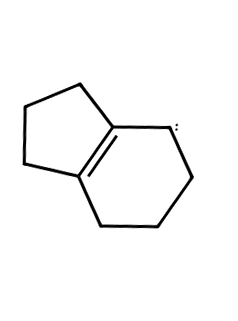 [C]1CCCC2=C1CCC2